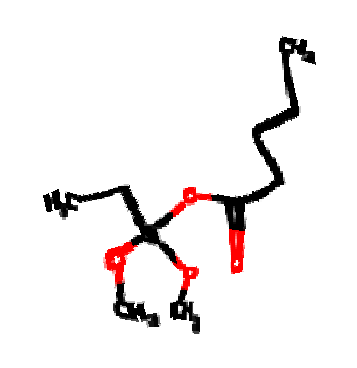 CCCCC(=O)O[Si](CC)(OC)OC